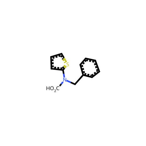 O=C(O)N(Cc1ccccc1)c1cccs1